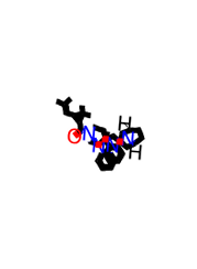 CC(C)=CC1C(C(=O)N2CCC(CCN3[C@@H]4CC[C@H]3C[C@@H](n3c(C)nc5ccccc53)C4)(c3ccccc3)CC2)C1(C)C